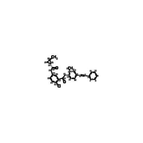 Cc1cc(C#Cc2ccccc2)ccc1CC(=O)c1cc(CC(=O)[C@@H]2C[C@H]2C)ccc1Cl